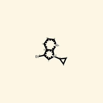 CCc1cn(C2CC2)c2ncccc12